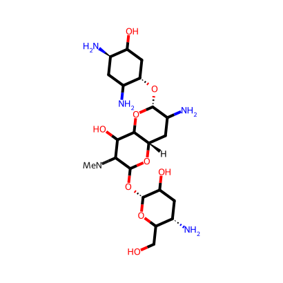 CNC1C(O[C@H]2OC(CO)[C@@H](N)CC2O)O[C@H]2CC(N)[C@@H](O[C@H]3CC(O)[C@H](N)CC3N)OC2C1O